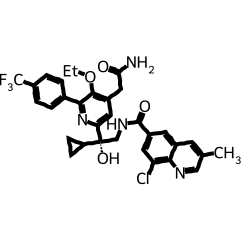 CCOc1c(CC(N)=O)cc([C@@](O)(CNC(=O)c2cc(Cl)c3ncc(C)cc3c2)C2CC2)nc1-c1ccc(C(F)(F)F)cc1